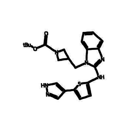 CC(C)(C)OC(=O)N1CC(Cn2c(Nc3ccc(-c4cn[nH]c4)s3)nc3ccccc32)C1